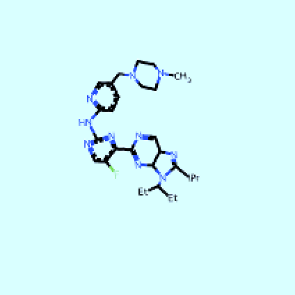 CCC(CC)N1C(C(C)C)=NC2C=NC(c3nc(Nc4ccc(CN5CCN(C)CC5)cn4)ncc3F)=NC21